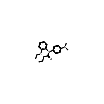 CCCC(=O)N(c1ccc(N(C)C)cc1)c1ccccc1SCC